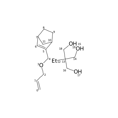 C=CCOCC1=CC2CCC1C2.CCC(CO)(CO)CO